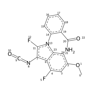 COc1cc(F)c2c(N=C=O)c(F)n(-c3ccccc3C(N)=O)c2c1